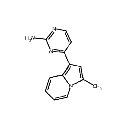 Cc1cc(-c2ccnc(N)n2)c2ccccn12